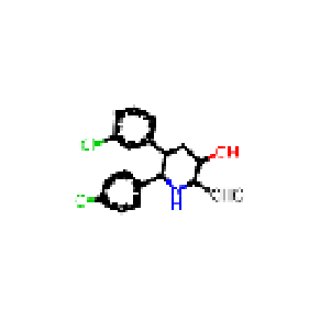 O=CC1NC(c2ccc(Cl)cc2)C(c2cccc(Cl)c2)CC1O